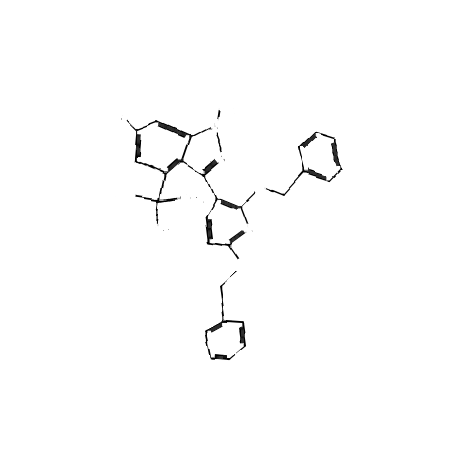 Cn1nc(-c2ccc(OCc3ccccc3)nc2OCc2ccccc2)c2c(C(C)(C)C)cc(Br)cc21